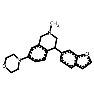 CN1Cc2cc(N3CCOCC3)ccc2C(c2ccc3ccoc3c2)C1